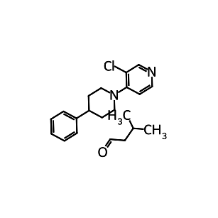 CC(C)CC=O.Clc1cnccc1N1CCC(c2ccccc2)CC1